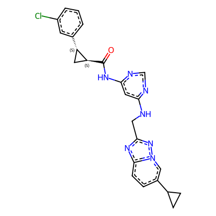 O=C(Nc1cc(NCc2nc3ccc(C4CC4)cn3n2)ncn1)[C@H]1C[C@@H]1c1cccc(Cl)c1